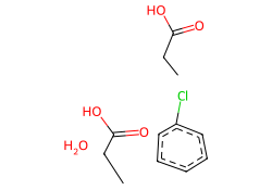 CCC(=O)O.CCC(=O)O.Clc1ccccc1.O